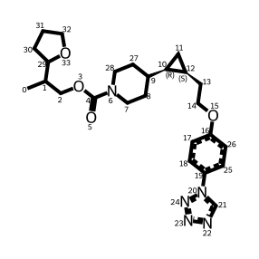 CC(COC(=O)N1CCC([C@H]2C[C@H]2CCOc2ccc(-n3cnnn3)cc2)CC1)C1CCCO1